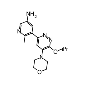 Cc1ncc(N)cc1-c1cc(N2CCOCC2)c(OC(C)C)nn1